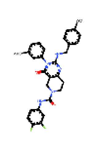 COc1ccc(CNc2nc3c(c(=O)n2-c2cccc(OC)c2)CN(C(=O)Nc2ccc(F)c(F)c2)CC3)cc1